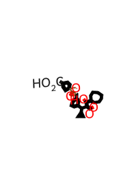 O=C(O)c1ccc(S(=O)(=O)Cc2cccc(C(c3c(O)c4c(oc3=O)CCCCCC4)C3CC3)c2)cc1